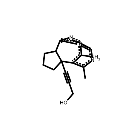 Cc1nc2nc3nn2c(N)c1C1(C#CCO)CCCC31